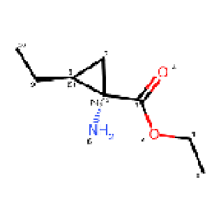 CCOC(=O)[C@]1(N)C[C@@H]1CC